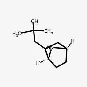 CC(C)(O)CC1C[C@H]2CC[C@@H]1N2